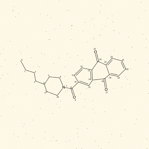 CCCCC1CCN(C(=O)c2ccc3c(c2)C(=O)c2ccccc2C3=O)CC1